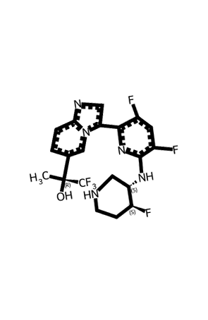 C[C@@](O)(c1ccc2ncc(-c3nc(N[C@H]4CNCC[C@@H]4F)c(F)cc3F)n2c1)C(F)(F)F